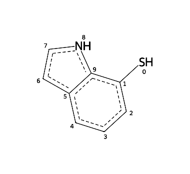 Sc1cccc2cc[nH]c12